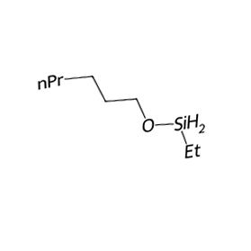 CCCCCCO[SiH2]CC